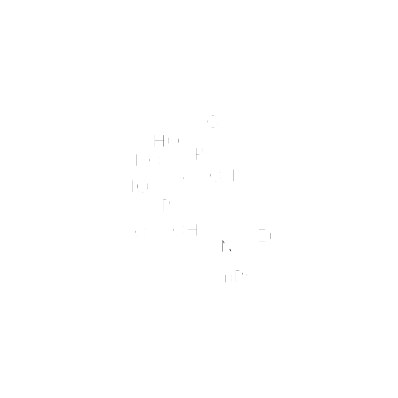 CCCN(CC)CCC(O)(P(=O)(O)O)P(=O)(O)O